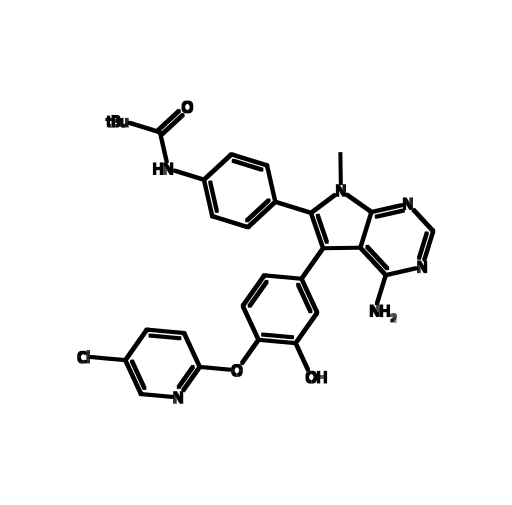 Cn1c(-c2ccc(NC(=O)C(C)(C)C)cc2)c(-c2ccc(Oc3ccc(Cl)cn3)c(O)c2)c2c(N)ncnc21